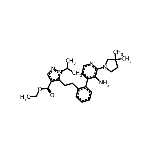 CCOC(=O)c1cnn(C(C)C)c1CCc1ccccc1-c1ccnc(N2CCC(C)(C)C2)c1N